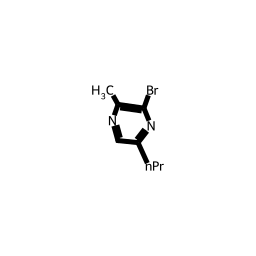 CCCc1cnc(C)c(Br)n1